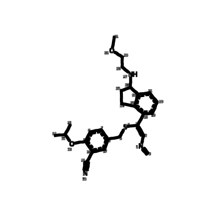 C=N/C=C(\SCc1ccc(OC(C)C)c(C#N)c1)c1cccc2c1CCC2NCCOC